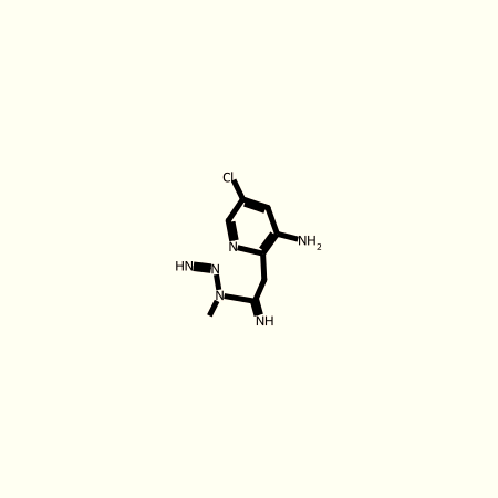 CN(N=N)C(=N)Cc1ncc(Cl)cc1N